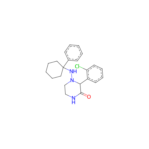 O=C1NCCN(NC2(c3ccccc3)CCCCC2)C1c1ccccc1Cl